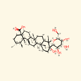 C[C@H]1[C@H](C)CC[C@]2(C(=O)O)CC[C@]3(C)C(=CC[C@@H]4[C@@]5(C)CC[C@@](O)([C@@H]6O[C@H](CO)[C@@H](O)[C@H](O)[C@H]6O)C(C)(C)C5CC[C@]43C)[C@H]12